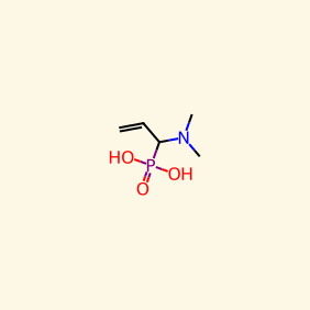 C=CC(N(C)C)P(=O)(O)O